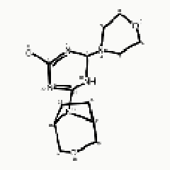 ClC1=NC(N2CCOCC2)NC(N2C3CCC2COC3)=N1